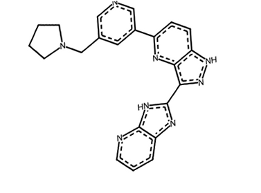 c1cnc2[nH]c(-c3n[nH]c4ccc(-c5cncc(CN6CCCC6)c5)nc34)nc2c1